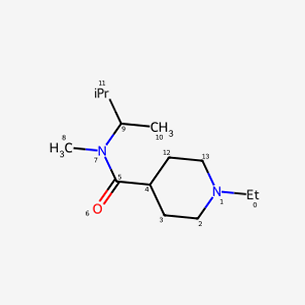 CCN1CCC(C(=O)N(C)C(C)C(C)C)CC1